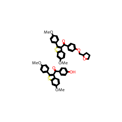 COc1ccc(-c2sc3cc(OC)ccc3c2C(=O)c2ccc(O)cc2)cc1.COc1ccc(-c2sc3cc(OC)ccc3c2C(=O)c2ccc(OCC3CCCO3)cc2)cc1